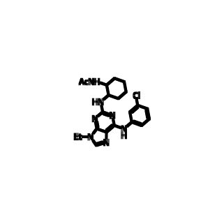 CCn1cnc2c(Nc3cccc(Cl)c3)nc(NC3CCCCC3NC(C)=O)nc21